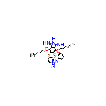 CC(C)CCCCOc1c(Sc2ccc(N(C)C)cc2)c(Sc2ccccc2N)c(OCCCCC(C)C)c2c1C(=N)NC2=N